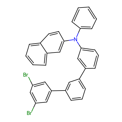 Brc1cc(Br)cc(-c2cccc(-c3cccc(N(c4ccccc4)c4ccc5ccccc5c4)c3)c2)c1